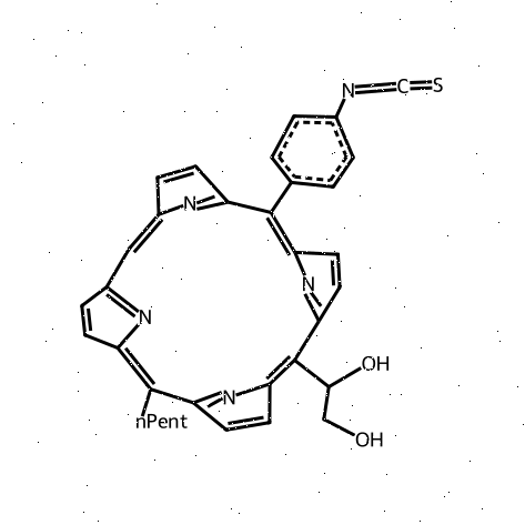 CCCCCC1=C2C=CC(=N2)C=C2C=CC(=N2)C(c2ccc(N=C=S)cc2)=C2C=CC(=N2)C(C(O)CO)=C2C=CC1=N2